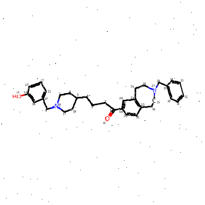 O=C(CCCC1CCN(Cc2cccc(O)c2)CC1)c1ccc2c(c1)CCN(Cc1ccccc1)CC2